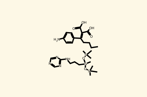 CCCCC(=C(C(=O)O)C(=O)O)c1ccc(N)cc1.C[Si](C)(C)O[Si](C)(CCCNc1ncncn1)O[Si](C)(C)C